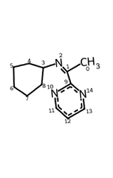 CC(=NC1CCCCC1)c1ncccn1